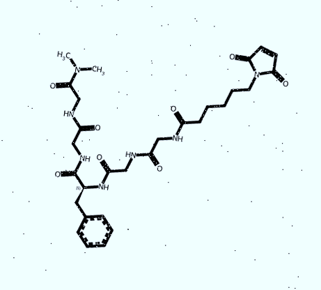 CN(C)C(=O)CNC(=O)CNC(=O)[C@H](Cc1ccccc1)NC(=O)CNC(=O)CNC(=O)CCCCCN1C(=O)C=CC1=O